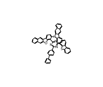 c1ccc(-c2ccc(-c3nc(-c4c(-n5c6ccccc6c6cc7ccccc7cc65)ccc5c4oc4cc6ccccc6cc45)nc(-c4cccc5c4sc4ccccc45)n3)cc2)cc1